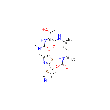 CC[C@@H](CC[C@H](CC)NC(=O)[C@@H](NC(=O)N(C)Cc1csc(C(C)C)n1)C(C)O)NC(=O)OCC1CN=CS1